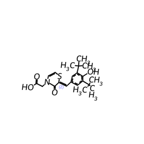 CC(C)(C)c1cc(/C=C2\SC=CN(CC(=O)O)C2=O)cc(C(C)(C)C)c1O